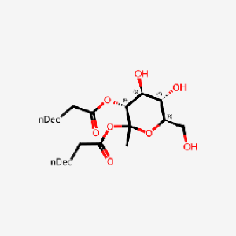 CCCCCCCCCCCC(=O)O[C@@H]1[C@@H](O)[C@H](O)[C@@H](CO)OC1(C)OC(=O)CCCCCCCCCCC